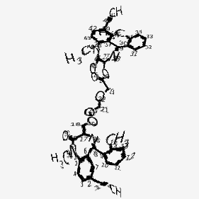 C#Cc1ccc2c(c1)C(c1ccccc1C)=NC(COOCOCC(=O)OC1N=C(c3ccccc3C)c3cc(C#C)ccc3N(C)C1=O)C(=O)N2C